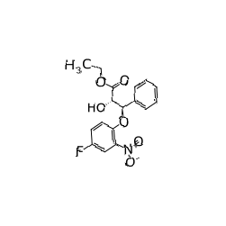 CCOC(=O)[C@@H](O)[C@H](Oc1ccc(F)cc1[N+](=O)[O-])c1ccccc1